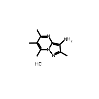 Cc1nc2c(N)c(C)nn2c(C)c1C.Cl